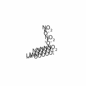 O=[N+]([O-])[O-].O=[N+]([O-])[O-].O=[N+]([O-])[O-].O=[N+]([O-])[O-].O=[N+]([O-])[O-].O=[N+]([O-])[O-].O=[N+]([O-])[O-].[La+3].[Mo+4]